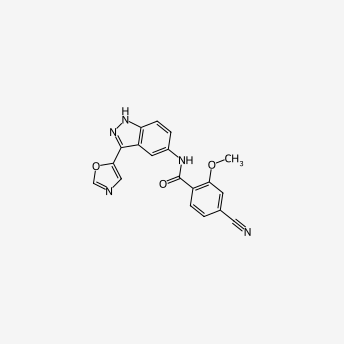 COc1cc(C#N)ccc1C(=O)Nc1ccc2[nH]nc(-c3cnco3)c2c1